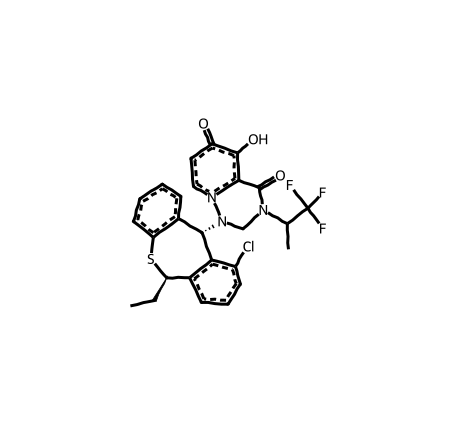 CC[C@H]1Sc2ccccc2[C@H](N2CN(C(C)C(F)(F)F)C(=O)c3c(O)c(=O)ccn32)c2c(Cl)cccc21